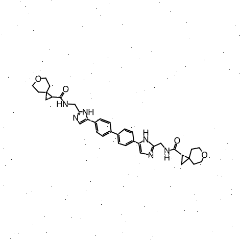 O=C(NCc1ncc(-c2ccc(-c3ccc(-c4cnc(CNC(=O)C5CC56CCOCC6)[nH]4)cc3)cc2)[nH]1)C1CC12CCOCC2